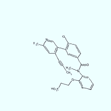 CC#Cc1cc(C(F)(F)F)ncc1-c1cc(C(=O)N(C)c2ccccc2OCCC(=O)O)ccc1Cl